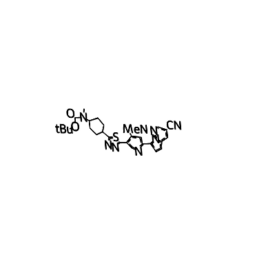 CNc1cc(-c2ccc3cc(C#N)cnn23)ncc1-c1nnc(C2CCC(N(C)C(=O)OC(C)(C)C)CC2)s1